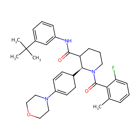 Cc1cccc(F)c1C(=O)N1CCCC(C(=O)Nc2cccc(C(C)(C)C)c2)[C@@H]1C1C=CC(N2CCOCC2)=CC1